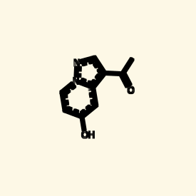 CC(=O)c1cnn2ccc(O)cc12